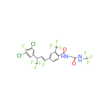 O=C(CNC(=O)c1ccc(C(F)=CC(c2cc(Cl)c(F)c(Cl)c2)C(F)(F)F)cc1C(F)(F)F)NCC(F)(F)F